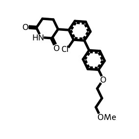 COCCCOc1ccc(-c2cccc(C3CCC(=O)NC3=O)c2Cl)cc1